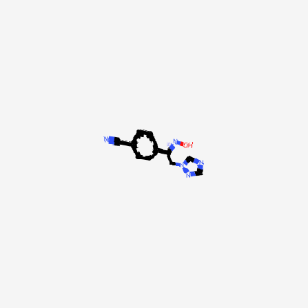 N#Cc1ccc(/C(Cn2cncn2)=N/O)cc1